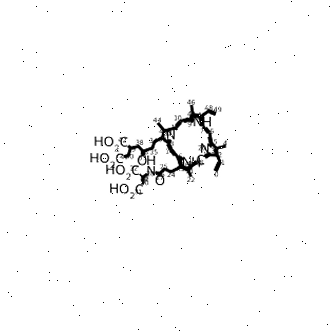 C=CC1=C(C)c2cc3[nH]c(cc4nc(cc5[nH]c(cc1n2)c(C)c5CCC(=O)N[C@@H](CC(=O)O)C(=O)O)C(CCC(=O)CC(CC(=O)O)C(=O)O)C4C)c(C)c3C=C